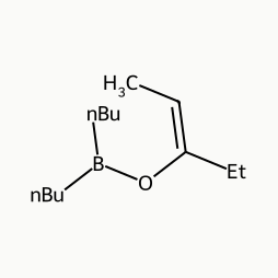 CC=C(CC)OB(CCCC)CCCC